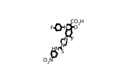 O=C(O)c1cn(-c2ccc(F)cc2)c2cc(N3CCN(C(=S)Nc4ccc([N+](=O)[O-])cc4)CC3)c(F)cc2c1=O